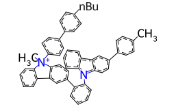 CCCCc1ccc(-c2ccc([N+]3(C)c4ccccc4-c4cc(-c5ccccc5-n5c6ccccc6c6cc(-c7ccc(C)cc7)ccc65)ccc43)cc2)cc1